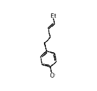 CC/C=C/CCc1ccc([O])cc1